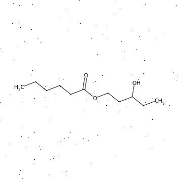 CCCCCC(=O)OCCC(O)CC